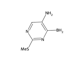 Bc1nc(SC)ncc1N